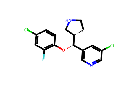 Fc1cc(Cl)ccc1O[C@@H](c1cncc(Cl)c1)[C@H]1CCNC1